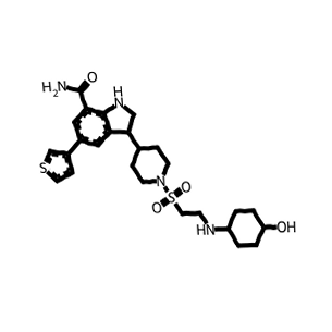 NC(=O)c1cc(-c2ccsc2)cc2c1NCC2C1CCN(S(=O)(=O)CCNC2CCC(O)CC2)CC1